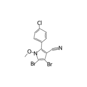 COn1c(Br)c(Br)c(C#N)c1-c1ccc(Cl)cc1